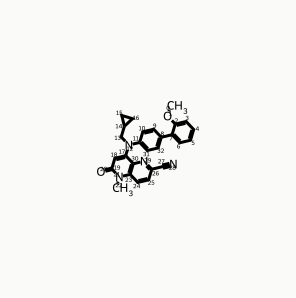 COc1ccccc1-c1ccc(N(CC2CC2)c2cc(=O)n(C)c3ccc(C#N)nc23)cc1